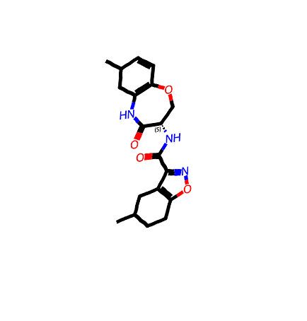 CC1C=CC2=C(C1)NC(=O)[C@@H](NC(=O)c1noc3c1CC(C)CC3)CO2